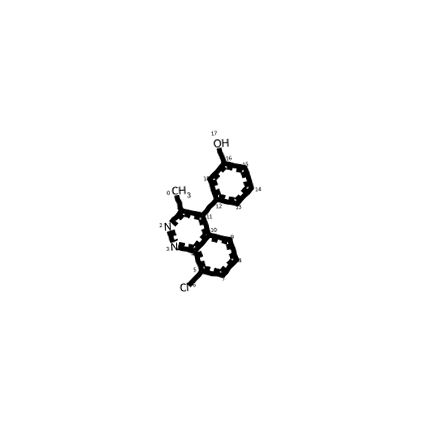 Cc1nnc2c(Cl)cccc2c1-c1cccc(O)c1